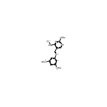 CCNc1nc(SC)ncc1/C=N/c1cc(OC)cc(OC)c1